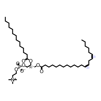 CCCCC/C=C\C/C=C\CCCCCCCCCCCC(=O)OC[C@H](COP(=O)([O-])OCC[N+](C)(C)C)OC(=O)CCCCCCCCCCCCC